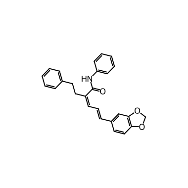 O=C(Nc1ccccc1)C(=CC=Cc1ccc2c(c1)OCO2)CCc1ccccc1